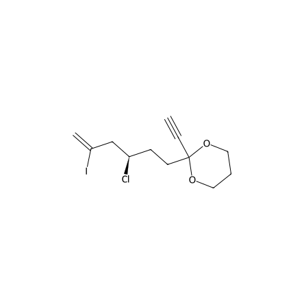 C#CC1(CC[C@@H](Cl)CC(=C)I)OCCCO1